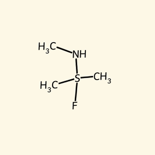 CNS(C)(C)F